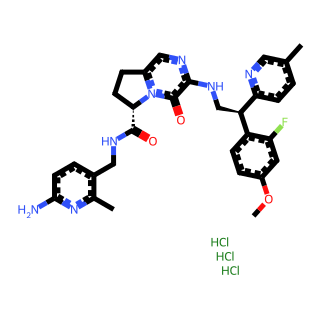 COc1ccc([C@@H](CNc2ncc3n(c2=O)[C@H](C(=O)NCc2ccc(N)nc2C)CC3)c2ccc(C)cn2)c(F)c1.Cl.Cl.Cl